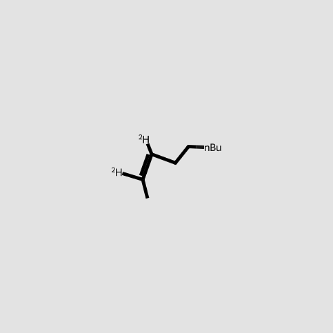 [2H]/C(C)=C(\[2H])CCCCCC